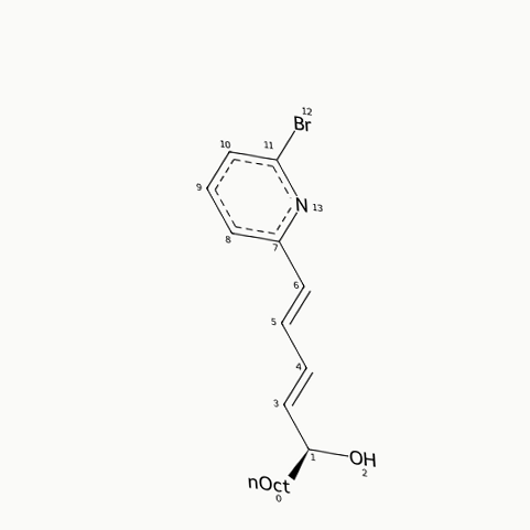 CCCCCCCC[C@H](O)/C=C/C=C/c1cccc(Br)n1